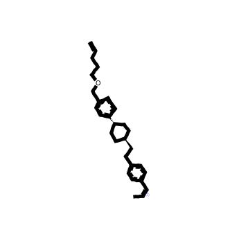 C=CCCCOCc1ccc([C@H]2CC[C@H](CCc3ccc(/C=C\C)cc3)CC2)cc1